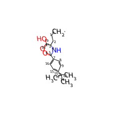 [CH2]CCC(NC(=O)c1ccc(C(C)(C)C)cc1)C(=O)O